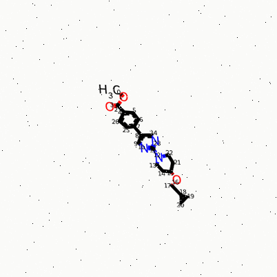 COC(=O)c1ccc(-c2cnc(N3CCC(OCC4CC4)CC3)nc2)cc1